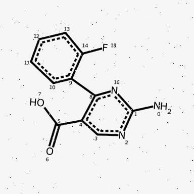 Nc1ncc(C(=O)O)c(-c2ccccc2F)n1